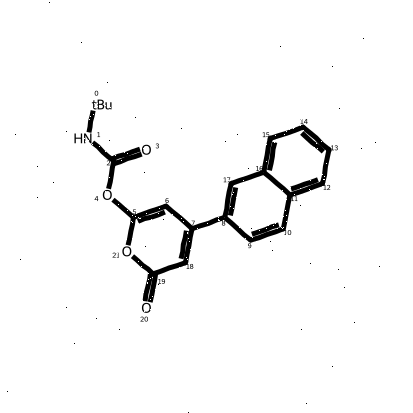 CC(C)(C)NC(=O)Oc1cc(-c2ccc3ccccc3c2)cc(=O)o1